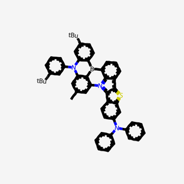 Cc1cc2c3c(c1)-n1c4c(cccc4c4sc5cc(N(c6ccccc6)c6ccccc6)ccc5c41)B3c1ccc(C(C)(C)C)cc1N2c1cccc(C(C)(C)C)c1